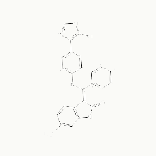 CCOC(=O)c1ccc2c(c1)NC(=O)/C2=C(/Nc1ccc(-c2nc[nH]c2C)cc1)c1ccccc1